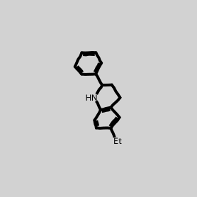 CCc1ccc2c(c1)CCC(c1ccccc1)N2